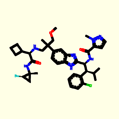 COCC(C)(CN[C@@H](C(=O)N[C@]1(C)C[C@@H]1F)C1CCC1)c1ccc2[nH]c([C@@H](NC(=O)c3ccnn3C)[C@H](c3ccccc3Cl)C(C)C)nc2c1